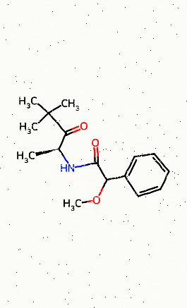 COC(C(=O)N[C@@H](C)C(=O)C(C)(C)C)c1ccccc1